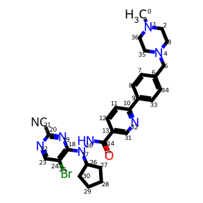 CN1CCN(Cc2ccc(-c3ccc(C(=O)NN(c4nc(C#N)ncc4Br)C4CCCC4)cn3)cc2)CC1